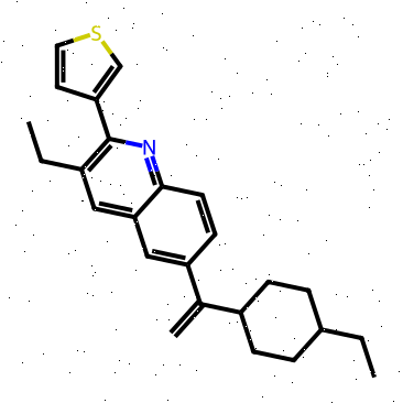 C=C(c1ccc2nc(-c3ccsc3)c(CC)cc2c1)C1CCC(CC)CC1